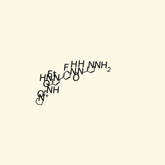 CCNc1nc(-c2ccc(NC(=O)NCc3ccc(N)nc3)c(F)c2)ccc1C(=O)NCC[N+]1([O-])CCCCC1